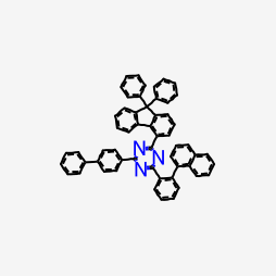 c1ccc(-c2ccc(-c3nc(-c4ccccc4-c4cccc5ccccc45)nc(-c4cccc5c4-c4ccccc4C5(c4ccccc4)c4ccccc4)n3)cc2)cc1